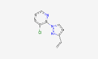 C=Cc1ccn(-c2ncccc2Cl)n1